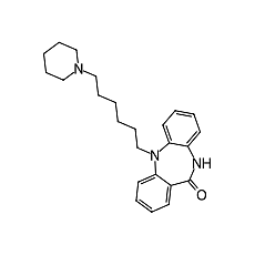 O=C1Nc2ccccc2N(CCCCCCN2CCCCC2)c2ccccc21